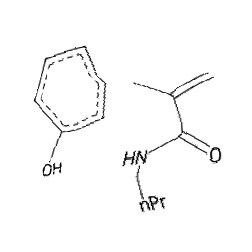 C=C(C)C(=O)NCCC.Oc1ccccc1